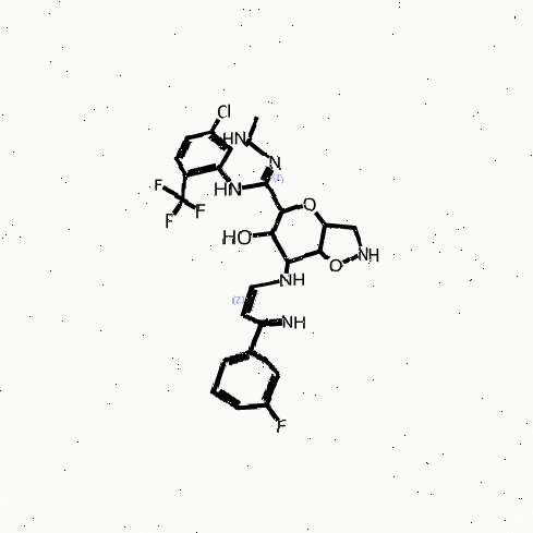 CC(=N)/N=C(\Nc1cc(Cl)ccc1C(F)(F)F)C1OC2CNOC2C(N/C=C\C(=N)c2cccc(F)c2)C1O